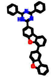 c1ccc(C2=NC(c3ccccc3)NC(c3ccc4oc5c(-c6ccc7oc8ccccc8c7c6)cccc5c4c3)=N2)cc1